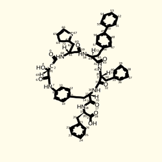 O=C1C[C@@H](O)C(=O)Nc2ccc(cc2)C[C@@H](C(=O)N[C@H](Cc2ccccc2)C(=O)O)NC(=O)[C@@H](Cc2ccccc2)NC(=O)[C@H](Cc2ccc(-c3ccccc3)cc2)NC(=O)[C@@H](CC2CC=CS2)N1